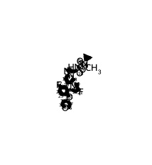 CN(C1CC1)S(=O)(=O)NC(=O)c1cnc2ccc(N3C[C@@H](F)C[C@@H]3c3cc(F)ccc3OC3CCOCC3)cn12